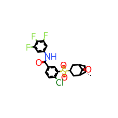 C[C@H]1CC2C[C@H](S(=O)(=O)c3cc(C(=O)Nc4cc(F)c(F)c(F)c4)ccc3Cl)CC1C2=O